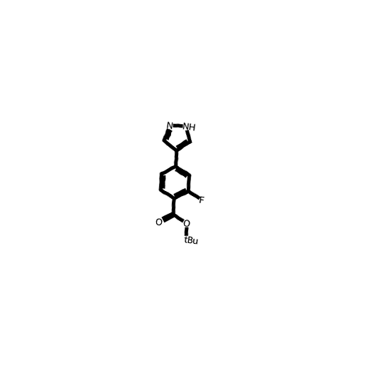 CC(C)(C)OC(=O)c1ccc(-c2cn[nH]c2)cc1F